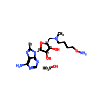 CCc1nc2c(N)ncnc2n1[C@@H]1O[C@H](CN(C)CCCCON)[C@@H](O)[C@H]1O.O=S(=O)(O)O